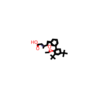 CCOc1c(-c2cccc3cc(/C(C)=C/C(=O)O)oc23)cc(C(C)(C)C)cc1C(C)(C)C